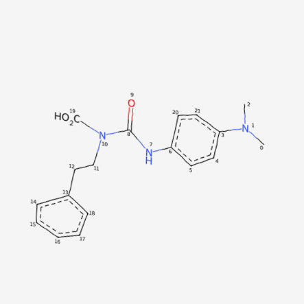 CN(C)c1ccc(NC(=O)N(CCc2ccccc2)C(=O)O)cc1